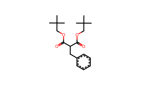 CC(C)(C)COC(=O)C(Cc1ccccc1)C(=O)OCC(C)(C)C